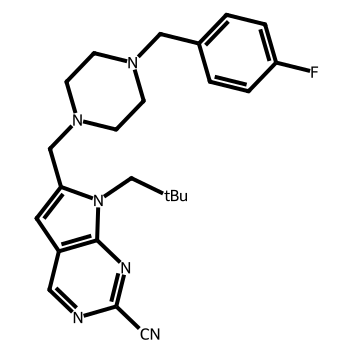 CC(C)(C)Cn1c(CN2CCN(Cc3ccc(F)cc3)CC2)cc2cnc(C#N)nc21